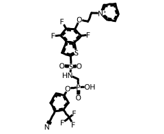 N#Cc1ccc(OP(=O)(O)CNS(=O)(=O)c2cc3c(F)c(F)c(OCC[n+]4ccccc4)c(F)c3s2)cc1C(F)(F)F